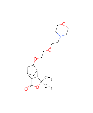 CC1(C)OC(=O)C2C3CC(OCCOCCN4CCOCC4)C(C3)C21